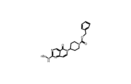 CCCCNc1ncc2c(=O)n(C3CCN(C(=O)OCc4ccccc4)CC3)ccc2n1